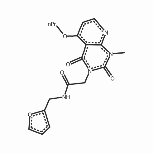 CCCOc1ccnc2c1c(=O)n(CC(=O)NCc1ccco1)c(=O)n2C